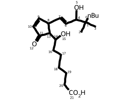 CCCCC(C)(C)C(O)C=CC1C=CC(=O)C1C(O)CCCCCC(=O)O